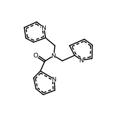 O=C(c1ccccn1)N(Cc1ccccn1)Cc1ccccn1